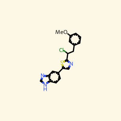 COc1cccc(CC(Cl)c2ncc(-c3ccc4[nH]cnc4c3)s2)c1